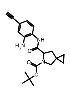 C#Cc1ccc(NC(=O)C2CC3(CC3)CN2C(=O)OC(C)(C)C)c(N)c1